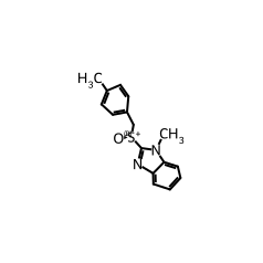 Cc1ccc(C[S@+]([O-])c2nc3ccccc3n2C)cc1